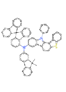 CC1(C)c2ccccc2-c2ccc(N(c3ccc4c(c3)c3ccc5sc6ccccc6c5c3n4-c3ccccc3)c3cccc4c3-c3ccccc3C43c4ccccc4-c4ccccc43)cc21